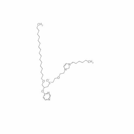 CCCCCC=[N+]1C=CN(CCOCC[S+]([O-])CC(COCCCCCCCCCCCCCCCCCC)Oc2ccncn2)C1